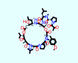 CC[C@H](C)[C@@H]1NC(=O)[C@@H](NC(=O)[C@@H](CC(C)C)N(C)C(=O)[C@@H]2CCCN2C(=O)C(C)=O)[C@@H](C)OC(=O)[C@H](Cc2ccc(OC)cc2)N(C)C(=O)[C@@H]2CCCN2C(=O)[C@H](CC(C)C)NC(=O)[C@@H](C)C(=O)[C@H](C(C)C)OC(=O)C[C@@H]1O